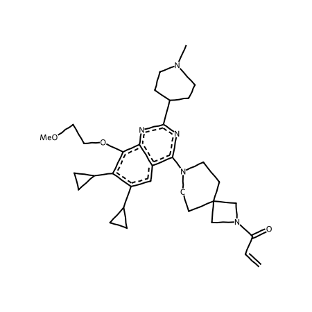 C=CC(=O)N1CC2(CCN(c3nc(C4CCN(C)CC4)nc4c(OCCOC)c(C5CC5)c(C5CC5)cc34)CC2)C1